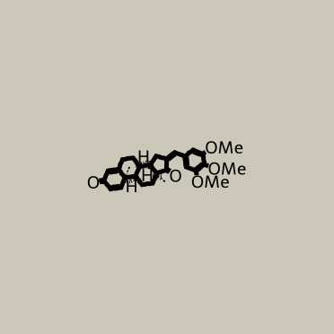 COc1cc(C=C2C[C@H]3[C@@H]4CCC5=CC(=O)C=C[C@]5(C)[C@H]4CC[C@]3(C)C2=O)cc(OC)c1OC